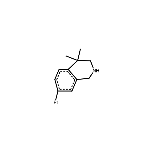 CCc1ccc2c(c1)CNCC2(C)C